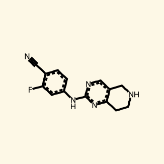 N#Cc1ccc(Nc2ncc3c(n2)CCNC3)cc1F